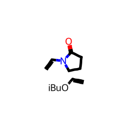 C=CN1CCCC1=O.C=COCC(C)C